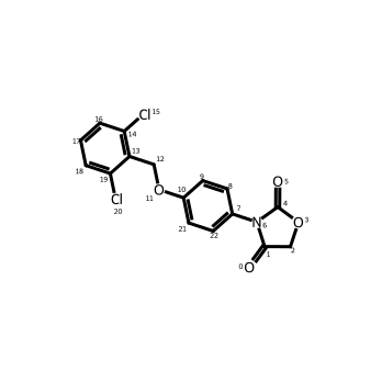 O=C1COC(=O)N1c1ccc(OCc2c(Cl)cccc2Cl)cc1